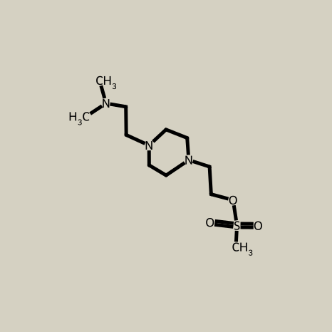 CN(C)CCN1CCN(CCOS(C)(=O)=O)CC1